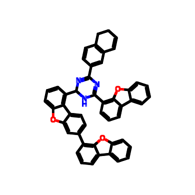 C1=Cc2cc(C3=NC(c4cccc5oc6cc(-c7cccc8c7oc7ccccc78)ccc6c45)NC(c4cccc5c4oc4ccccc45)=N3)ccc2CC1